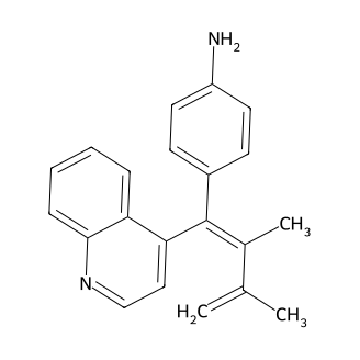 C=C(C)C(C)=C(c1ccc(N)cc1)c1ccnc2ccccc12